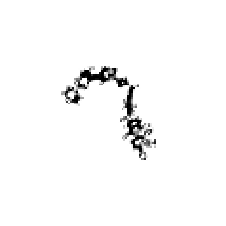 O=C1CCC(N2C(=O)c3ccc(NCCC[C@H]4C[C@H](n5cc(-c6ccnc(N7CCOCC7)n6)cn5)C4)cc3C2=O)C(=O)N1